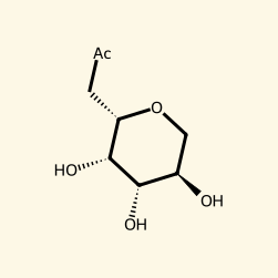 CC(=O)C[C@@H]1OC[C@@H](O)[C@H](O)[C@@H]1O